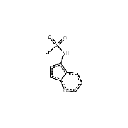 O=S(=O)(Cl)Nc1ccc2occcc1-2